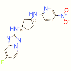 O=[N+]([O-])c1ccc(N[C@H]2CC[C@H](Nc3nc4cc(F)ccn4n3)C2)nc1